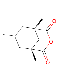 CC1C[C@@]2(C)C[C@@](C)(C1)C(=O)OC2=O